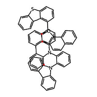 c1ccc(N(c2ccc(-c3cccc4sc5ccccc5c34)cc2)c2ccccc2-n2c3ccccc3c3ccccc32)c(-c2cccc3oc4c5ccccc5ccc4c23)c1